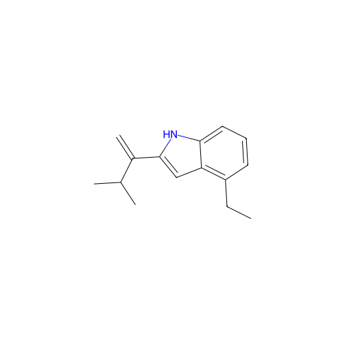 C=C(c1cc2c(CC)cccc2[nH]1)C(C)C